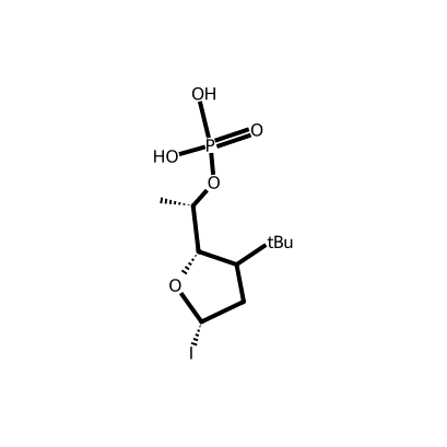 C[C@H](OP(=O)(O)O)[C@H]1O[C@@H](I)CC1C(C)(C)C